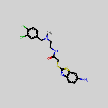 CN(CCNC(=O)CSc1nc2ccc(N)cc2s1)Cc1ccc(Cl)c(Cl)c1